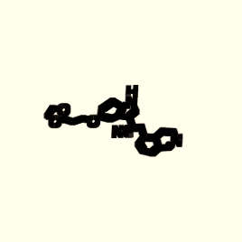 N#C/C(=C\c1cccc2cnccc12)c1c[nH]c2ccc(OCCC3OCCO3)cc12